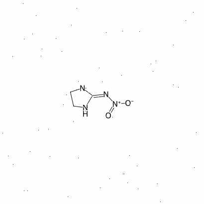 O=[N+]([O-])/N=C1/[N]CCN1